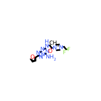 C[C@H](Nc1nc(N)n2nc(-c3ccco3)nc2n1)C(=O)N1CCN(CC(F)F)CC1